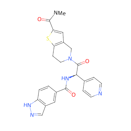 CNC(=O)c1cc2c(s1)CCN(C(=O)[C@H](NC(=O)c1ccc3[nH]ncc3c1)c1ccncc1)C2